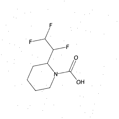 O=C(O)N1CCCCC1C(F)C(F)F